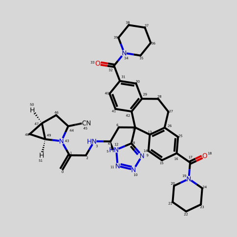 C=C(CN[C@H](C)CC1(c2nnn[nH]2)c2ccc(C(=O)N3CCCCC3)cc2CCc2cc(C(=O)N3CCCCC3)ccc21)N1C(C#N)C[C@@H]2C[C@@H]21